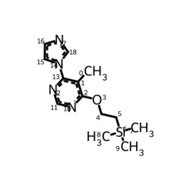 Cc1c(OCC[Si](C)(C)C)ncnc1-n1ccnc1